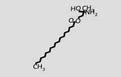 CCCCCCCCCCCCCCCCCC(=O)OCCC(C)(N)CO